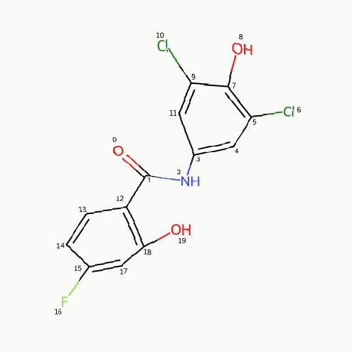 O=C(Nc1cc(Cl)c(O)c(Cl)c1)c1ccc(F)cc1O